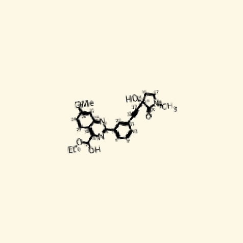 CCOC(O)c1nc(-c2cccc(C#C[C@]3(O)CCN(C)C3=O)c2)nc2cc(OC)ccc12